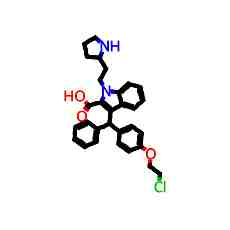 O=C(O)c1c(C(c2ccccc2)c2ccc(OCCCl)cc2)c2ccccc2n1CCC1CCCN1